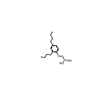 CCCCc1ccc(OOP(O)O)c(CCCC)c1